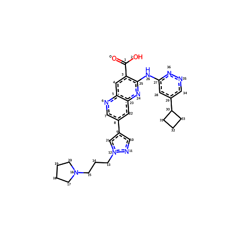 O=C(O)c1cc2ncc(-c3cnn(CCCN4CCCC4)c3)cc2nc1Nc1cc(C2CCC2)cnn1